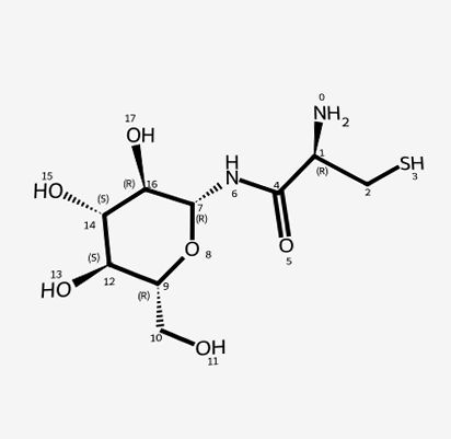 N[C@@H](CS)C(=O)N[C@@H]1O[C@H](CO)[C@@H](O)[C@H](O)[C@H]1O